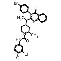 CC(c1nc2ccccc2c(=O)n1-c1ccc(Br)cc1)N1CCN(C(=O)Nc2ccc(Cl)c(Cl)c2)C(C)C1